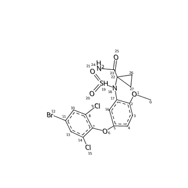 COc1ccc(Oc2c(Cl)cc(Br)cc2Cl)cc1N([SH](=O)=O)C1(C(N)=O)CC1